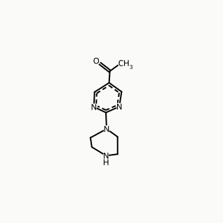 CC(=O)c1cnc(N2CCNCC2)nc1